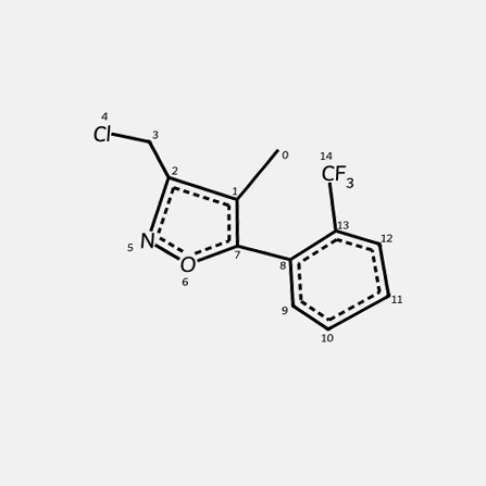 Cc1c(CCl)noc1-c1ccccc1C(F)(F)F